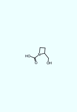 O=C(O)N1CCC1CO